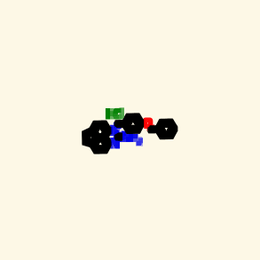 Cl.N=C(N)N(Cc1ccc(OCc2ccccc2)cc1)c1ccc2c3c(cccc13)C=C2